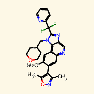 COc1cc2c(cc1-c1c(C)noc1C)ncc1nc(C(F)(F)c3ccccn3)n(CC3CCOCC3)c12